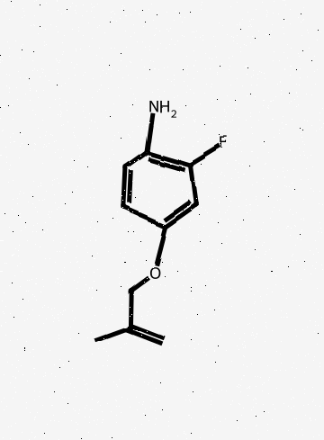 C=C(C)COc1ccc(N)c(F)c1